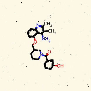 Cc1nc2cccc(OCC3CCCN(C(=O)c4cccc(O)c4)C3)c2c(N)c1C